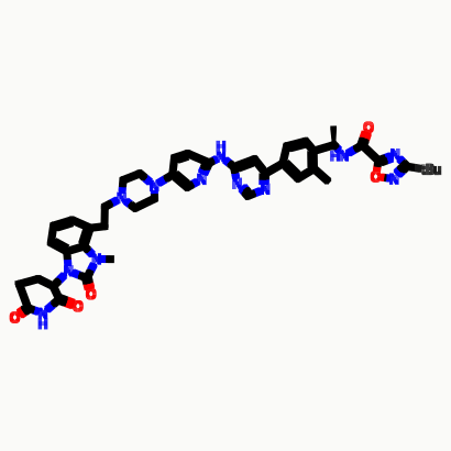 Cc1cc(-c2cc(Nc3ccc(N4CCN(CCc5cccc6c5n(C)c(=O)n6C5CCC(=O)NC5=O)CC4)cn3)ncn2)ccc1[C@@H](C)NC(=O)c1nc(C(C)(C)C)no1